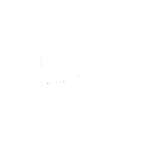 CCCCC(C)(C)NC